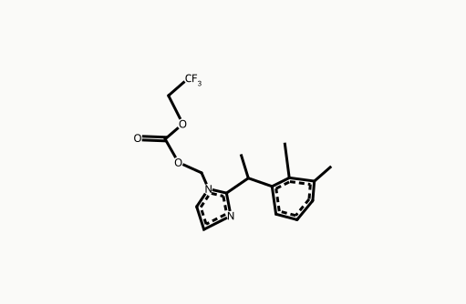 Cc1cccc(C(C)c2nccn2COC(=O)OCC(F)(F)F)c1C